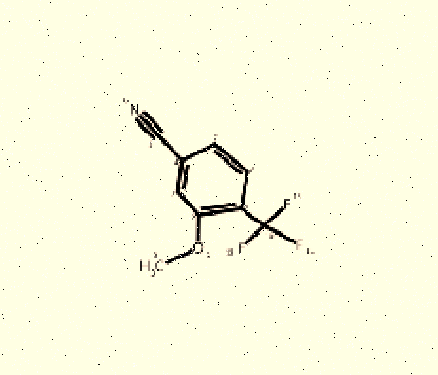 COc1cc(C#N)ccc1C(F)(F)F